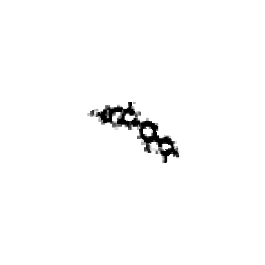 Cc1nc(C2=CCN(c3nc(C)n(Cc4ccc(C(C)(C)C)s4)c(=O)n3)C[C@@H]2O)ccc1F